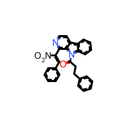 O=C(CCc1ccccc1)n1c2ccccc2c2ccnc(C(=Cc3ccccc3)[N+](=O)[O-])c21